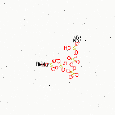 O=S(=O)([O-])OOS(=O)(=O)[O-].O=S(=O)([O-])[O-].O=S([O-])O.O=S([O-])O.[Fe+2].[Na+].[Na+].[Na+].[Na+]